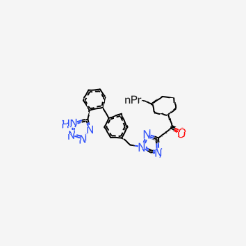 CCCC1CCCC(C(=O)c2ncn(Cc3ccc(-c4ccccc4-c4nnn[nH]4)cc3)n2)C1